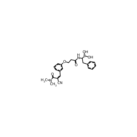 CN(C)C(=O)C(C#N)=Cc1cccc(OCCC(=O)NC(Cc2ccccc2)B(O)O)c1